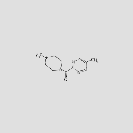 Cc1cnc(C(=O)N2CCN(C)CC2)nc1